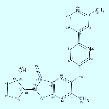 Cc1cc(-c2ccc(Cc3cc4c(cc3C)CN([C@H]3CCC[C@@H]3O)C4=O)cn2)ccn1